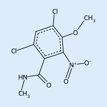 CNC(=O)c1c(Cl)cc(Cl)c(OC)c1[N+](=O)[O-]